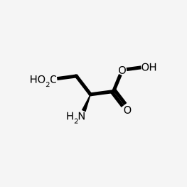 N[C@@H](CC(=O)O)C(=O)OO